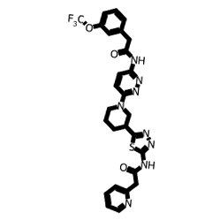 O=C(Cc1cccc(OC(F)(F)F)c1)Nc1ccc(N2CCCC(c3nnc(NC(=O)Cc4ccccn4)s3)C2)nn1